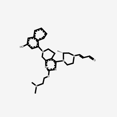 C[C@@H]1CN(C=CC=O)CCN1c1nc(OCCN(C)C)nc2c1CCN(c1cc(O)cc3ccccc13)C2